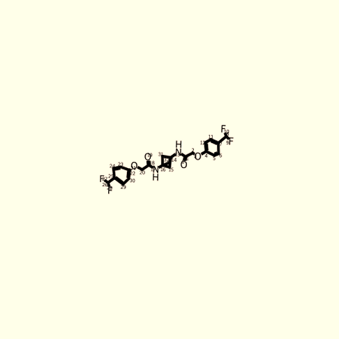 O=C(COc1ccc(C(F)F)cc1)NC12CC(NC(=O)COc3ccc(C(F)F)cc3)(C1)C2